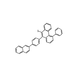 Ic1c(-c2ccc(-c3ccc4ccccc4c3)cc2)c2cccc(-c3ccccc3)c2c2ccccc12